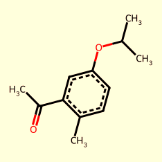 CC(=O)c1cc(OC(C)C)ccc1C